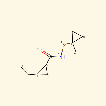 CCC1CC1C(=O)NSC1(C)CC1